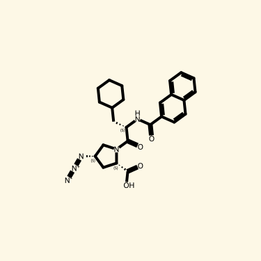 [N-]=[N+]=N[C@H]1C[C@@H](C(=O)O)N(C(=O)[C@H](CC2CCCCC2)NC(=O)c2ccc3ccccc3c2)C1